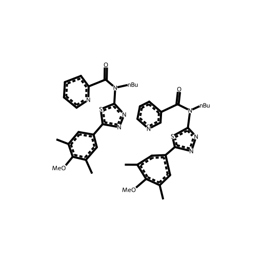 CCCCN(C(=O)c1ccccn1)c1nnc(-c2cc(C)c(OC)c(C)c2)s1.CCCCN(C(=O)c1cccnc1)c1nnc(-c2cc(C)c(OC)c(C)c2)s1